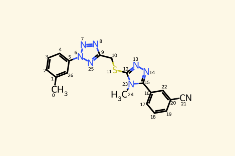 Cc1cccc(-n2nnc(CSc3nnc(-c4cccc(C#N)c4)n3C)n2)c1